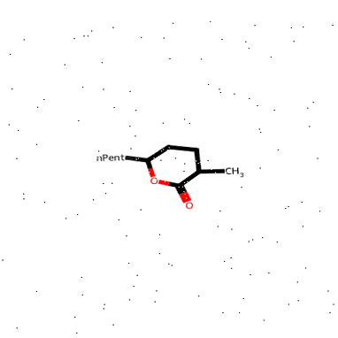 CCCCCC1CCC(C)C(=O)O1